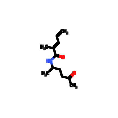 C=C/C=C(\C)C(=O)NC(C)CCC(C)=O